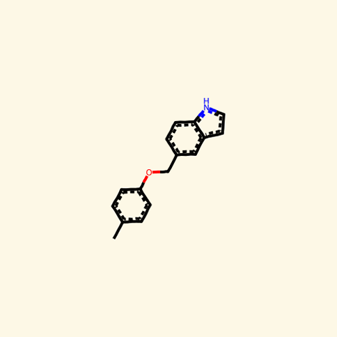 Cc1ccc(OCc2ccc3[nH]ccc3c2)cc1